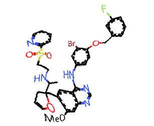 COc1cc2ncnc(Nc3ccc(OCc4cccc(F)c4)c(Br)c3)c2cc1C1(C(C)NCCS(=O)(=O)c2ccccn2)CC=CO1